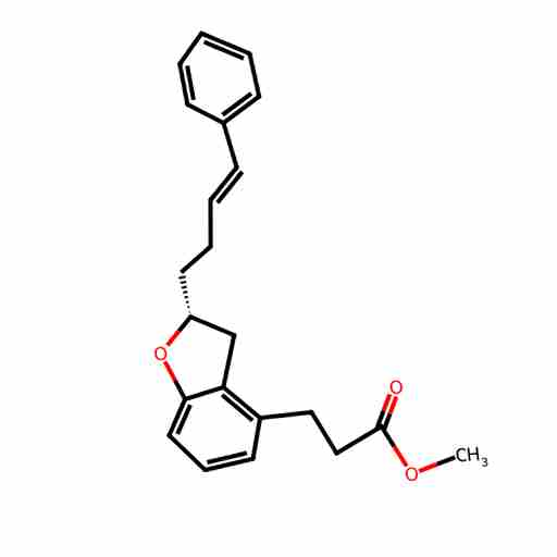 COC(=O)CCc1cccc2c1C[C@@H](CC/C=C/c1ccccc1)O2